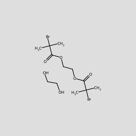 CC(C)(Br)C(=O)OCCOC(=O)C(C)(C)Br.OCCO